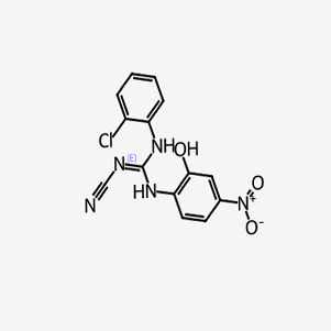 N#C/N=C(\Nc1ccc([N+](=O)[O-])cc1O)Nc1ccccc1Cl